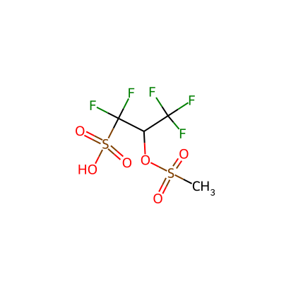 CS(=O)(=O)OC(C(F)(F)F)C(F)(F)S(=O)(=O)O